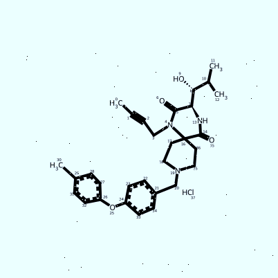 CC#CCN1C(=O)[C@@H]([C@H](O)C(C)C)NC(=O)C12CCN(Cc1ccc(Oc3ccc(C)cc3)cc1)CC2.Cl